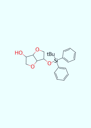 CC(C)(C)[Si](OC1COC2C(O)COC12)(c1ccccc1)c1ccccc1